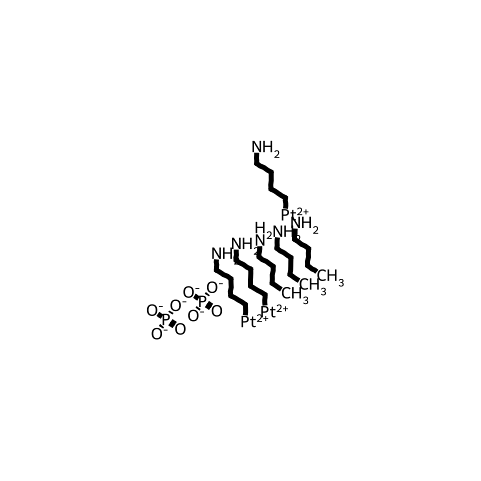 CCCCN.CCCCN.CCCCN.NCCC[CH2][Pt+2].NCCC[CH2][Pt+2].NCCC[CH2][Pt+2].O=P([O-])([O-])[O-].O=P([O-])([O-])[O-]